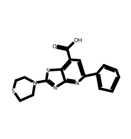 O=C(O)c1cc(-c2ccccc2)nc2nc(N3CCSCC3)sc12